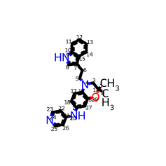 CC1(C)CN(CCc2c[nH]c3ccccc23)c2ccc(Nc3ccncc3)cc2O1